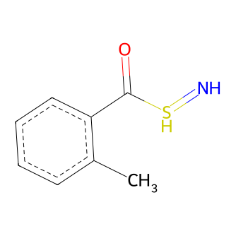 Cc1ccccc1C(=O)[SH]=N